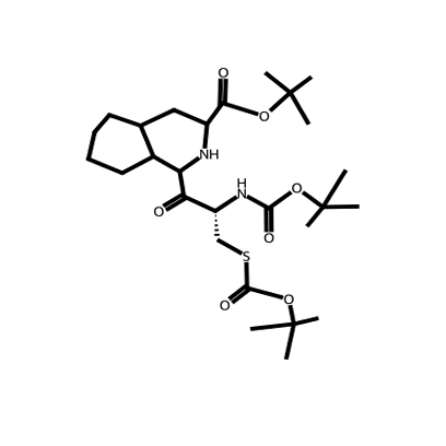 CC(C)(C)OC(=O)N[C@H](CSC(=O)OC(C)(C)C)C(=O)C1NC(C(=O)OC(C)(C)C)CC2CCCCC21